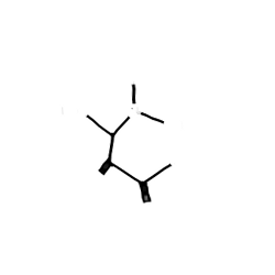 C=C(C)C(=O)C(C)N(C)C